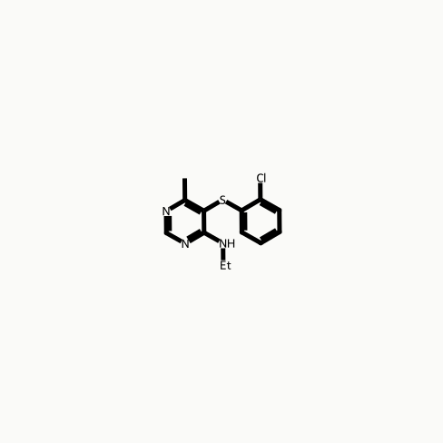 CCNc1ncnc(C)c1Sc1ccccc1Cl